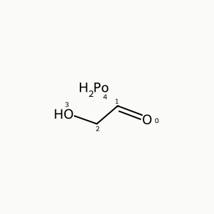 O=CCO.[PoH2]